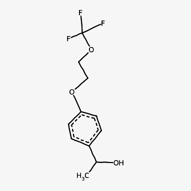 CC(O)c1ccc(OCCOC(F)(F)F)cc1